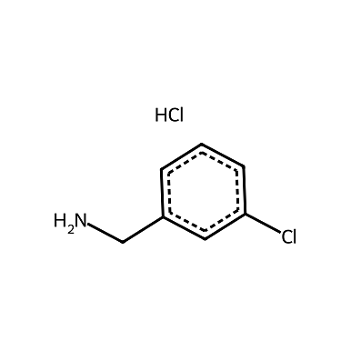 Cl.NCc1cccc(Cl)c1